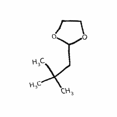 CC(C)(C)CC1OCCO1